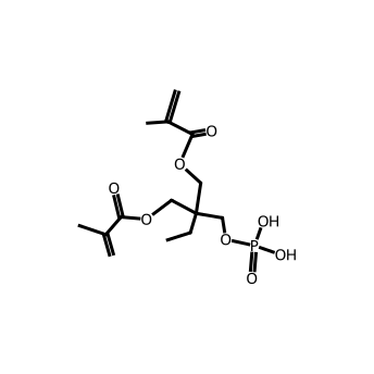 C=C(C)C(=O)OCC(CC)(COC(=O)C(=C)C)COP(=O)(O)O